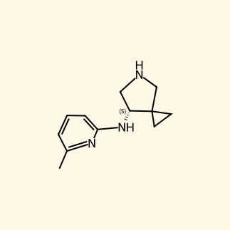 Cc1cccc(N[C@@H]2CNCC23CC3)n1